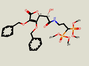 CC(C)OP(=O)(OC(C)C)C(CCNC(=O)[C@@H](O)[C@H]1OC(=O)C(OCc2ccccc2)=C1OCc1ccccc1)P(=O)(OC(C)C)OC(C)C